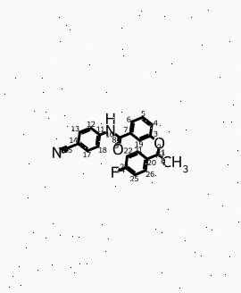 C[C@H](Oc1cccc(C(=O)Nc2ccc(C#N)cc2)c1)c1ccc(F)cc1